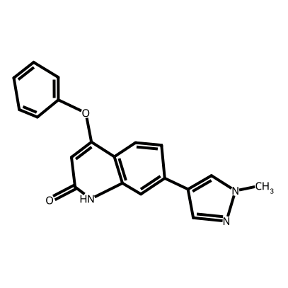 Cn1cc(-c2ccc3c(Oc4ccccc4)cc(=O)[nH]c3c2)cn1